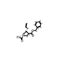 C=CC[C@H]1CN(C(=O)CC)CC1C(=O)OCc1ccccc1